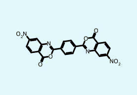 O=c1oc(-c2ccc(-c3nc4cc([N+](=O)[O-])ccc4c(=O)o3)cc2)nc2cc([N+](=O)[O-])ccc12